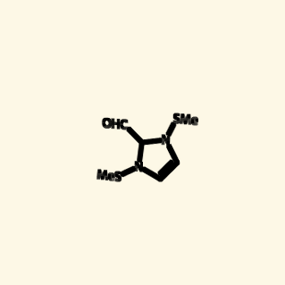 CSN1C=CN(SC)C1C=O